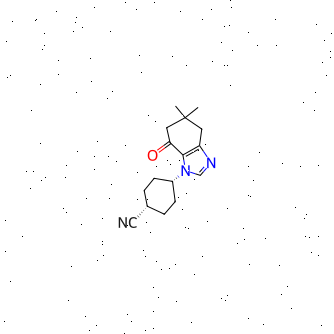 CC1(C)CC(=O)c2c(ncn2[C@H]2CC[C@@H](C#N)CC2)C1